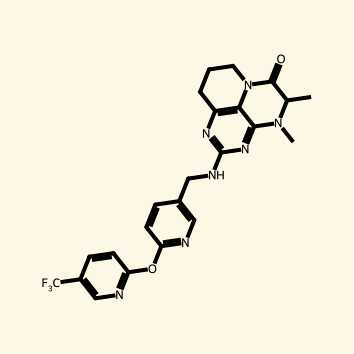 CC1C(=O)N2CCCc3nc(NCc4ccc(Oc5ccc(C(F)(F)F)cn5)nc4)nc(c32)N1C